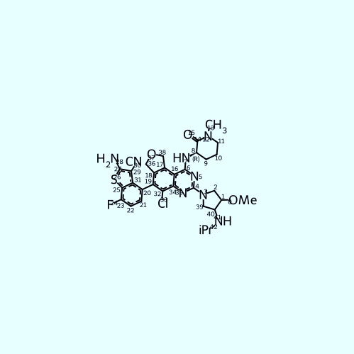 COC1CN(c2nc(N[C@@H]3CCCN(C)C3=O)c3c4c(c(-c5ccc(F)c6sc(N)c(C#N)c56)c(Cl)c3n2)COC4)CC1NC(C)C